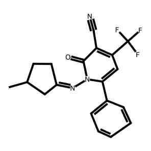 CC1CC/C(=N\n2c(-c3ccccc3)cc(C(F)(F)F)c(C#N)c2=O)C1